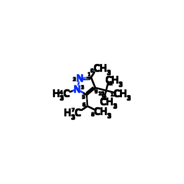 Cc1nn(C)c(C(C)C)c1C(C)(C)C